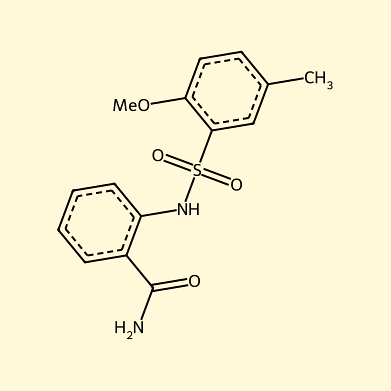 COc1ccc(C)cc1S(=O)(=O)Nc1ccccc1C(N)=O